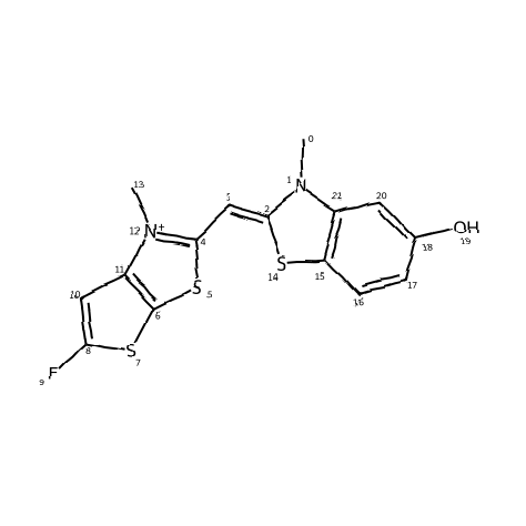 CN1/C(=C/c2sc3sc(F)cc3[n+]2C)Sc2ccc(O)cc21